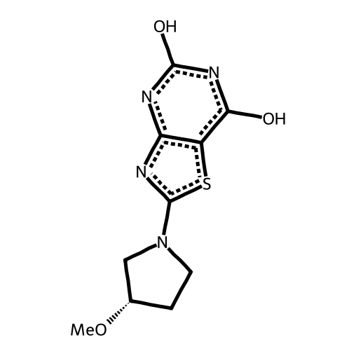 CO[C@H]1CCN(c2nc3nc(O)nc(O)c3s2)C1